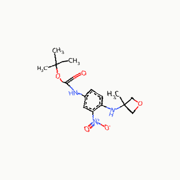 CC1(Nc2ccc(NC(=O)OC(C)(C)C)cc2[N+](=O)[O-])COC1